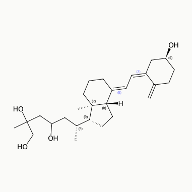 C=C1CC[C@H](O)C/C1=C/C=C1\CCC[C@]2(C)[C@@H]([C@H](C)CC(O)CC(C)(O)CO)CC[C@@H]12